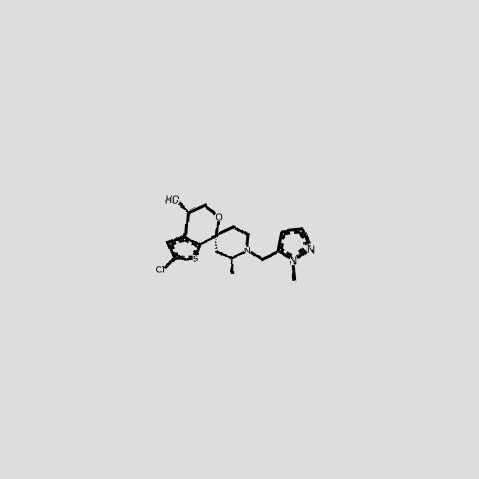 C[C@H]1C[C@@]2(CCN1Cc1ccnn1C)OC[C@H](O)c1cc(Cl)sc12